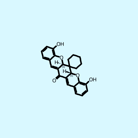 O=C1C2=Cc3cccc(O)c3O[C@H]2C2(CCCCC2)[C@@H]2Oc3c(O)cccc3C=C12